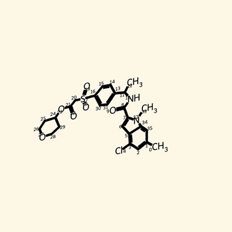 Cc1cc(Cl)c2cc(C(=O)NC(C)c3ccc(S(=O)(=O)CC(=O)OC4CCOCC4)cc3)n(C)c2c1